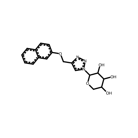 OC1COC(n2cc(COc3ccc4ccccc4c3)nn2)C(O)C1O